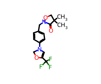 CC1(C)CON(Cc2ccc(N3C=C(C(F)(F)F)OC3)cc2)C1=O